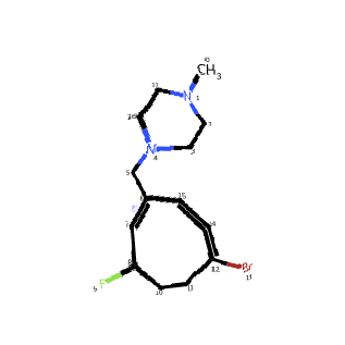 CN1CCN(C/C2=C/C(F)CCC(Br)=C=C2)CC1